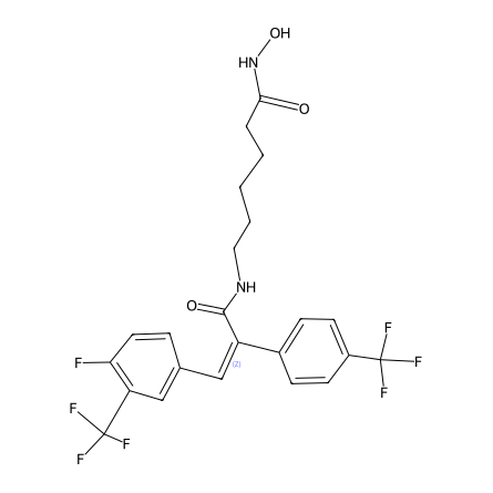 O=C(CCCCCNC(=O)/C(=C\c1ccc(F)c(C(F)(F)F)c1)c1ccc(C(F)(F)F)cc1)NO